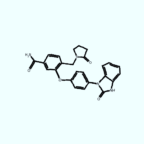 NC(=O)c1ccc(CN2CCCC2=O)c(Oc2ccc(-n3c(=O)[nH]c4ccccc43)cc2)c1